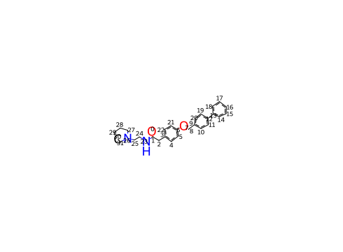 O=C(Cc1ccc(OCc2ccc(-c3ccccc3)cc2)cc1)NCCN1CCCCC1